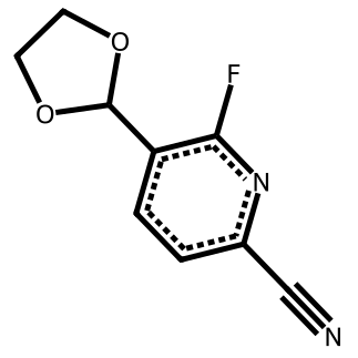 N#Cc1ccc(C2OCCO2)c(F)n1